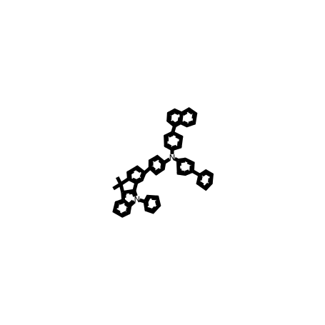 CC1(C)c2ccc(-c3ccc(N(c4ccc(-c5ccccc5)cc4)c4ccc(-c5cccc6ccccc56)cc4)cc3)cc2-c2c1c1ccccc1n2-c1ccccc1